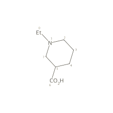 [CH2]CN1CCCC(C(=O)O)C1